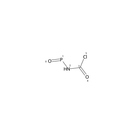 O=PNC(=O)Cl